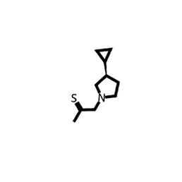 CC(=S)CN1CC[C@H](C2CC2)C1